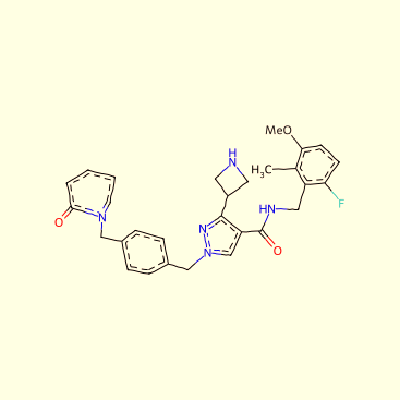 COc1ccc(F)c(CNC(=O)c2cn(Cc3ccc(Cn4ccccc4=O)cc3)nc2C2CNC2)c1C